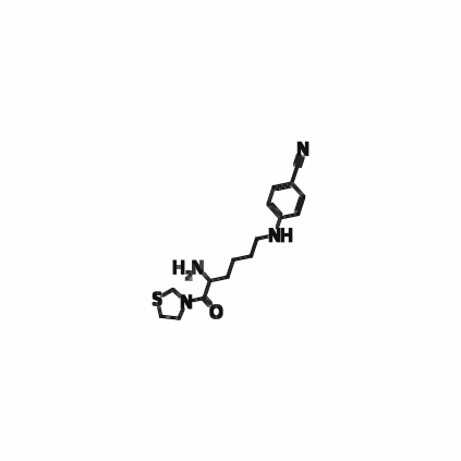 N#Cc1ccc(NCCCCC(N)C(=O)N2CCSC2)cc1